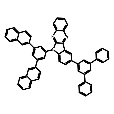 c1ccc(-c2cc(-c3ccccc3)cc(-c3ccc4c(c3)c3nc5ccccc5nc3n4-c3cc(-c4ccc5ccccc5c4)cc(-c4ccc5ccccc5c4)c3)c2)cc1